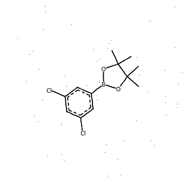 CC1(C)OB(c2cc(Cl)cc(Cl)c2)OC1(C)C